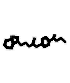 CCOC(=O)c1ccc(OC(=O)CCCc2c[nH]c3ccccc23)cc1